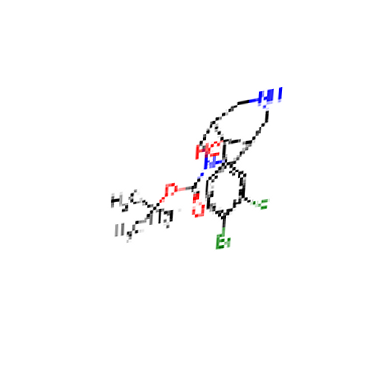 CC(C)(C)OC(=O)N1CC2CNCC(C1)C2(O)c1ccc(Br)c(F)c1